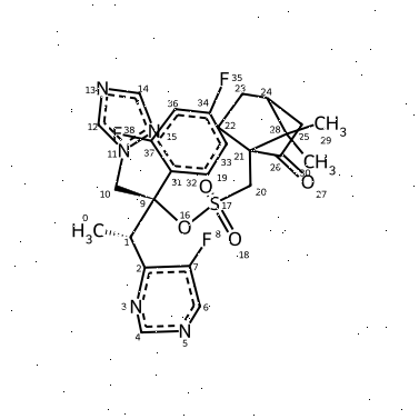 C[C@@H](c1ncncc1F)[C@@](Cn1cncn1)(OS(=O)(=O)CC12CCC(CC1=O)C2(C)C)c1ccc(F)cc1F